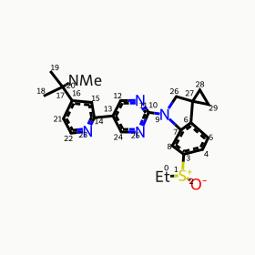 CC[S+]([O-])c1ccc2c(c1)N(c1ncc(-c3cc(C(C)(C)NC)ccn3)cn1)CC21CC1